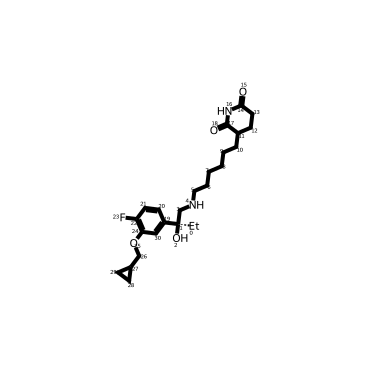 CC[C@@](O)(CNCCCCCCC1CCC(=O)NC1=O)c1ccc(F)c(OCC2CC2)c1